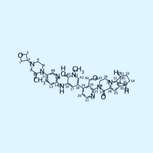 C[C@H]1CN(C2COC2)CCN1c1ccc(NC2=CC(c3ccnc(N4CCn5c(cc6c5[C@@H]5CC[C@H]6C5)C4=O)c3C=O)=CN(C)C2O)nc1